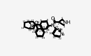 O=C(C1CNC1)N(c1ccc(C2CC3CCC(C2)N3C(=O)c2ccccc2)cc1)c1cccnn1